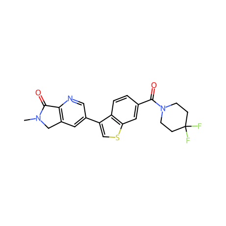 CN1Cc2cc(-c3csc4cc(C(=O)N5CCC(F)(F)CC5)ccc34)cnc2C1=O